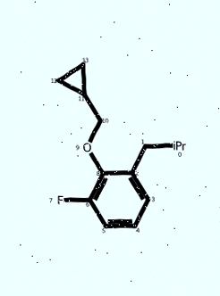 CC(C)Cc1cccc(F)c1OCC1CC1